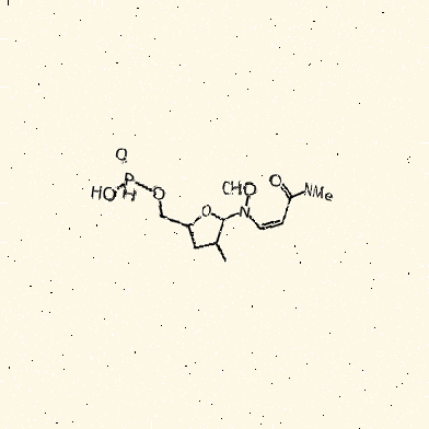 CNC(=O)/C=C\N(C=O)C1OC(CO[PH](=O)O)CC1C